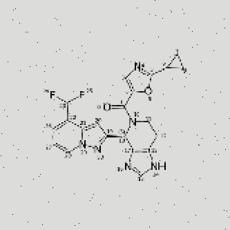 O=C(c1cnc(C2CC2)o1)N1CCc2[nH]cnc2[C@H]1c1cc2c(C(F)F)cccn2n1